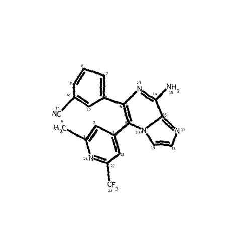 Cc1cc(-c2c(-c3cccc(C#N)c3)nc(N)c3nccn23)cc(C(F)(F)F)n1